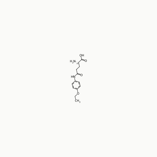 CCOc1ccc(NC(=O)CC[C@H](N)C(=O)O)cc1